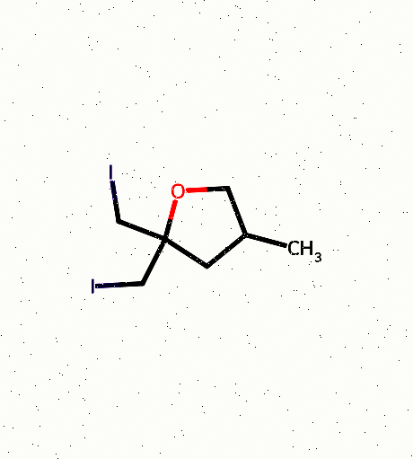 CC1COC(CI)(CI)C1